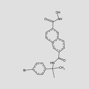 CC(I)(NC(=O)c1ccc2cc(C(=O)NO)ccc2c1)c1ccc(Br)cc1